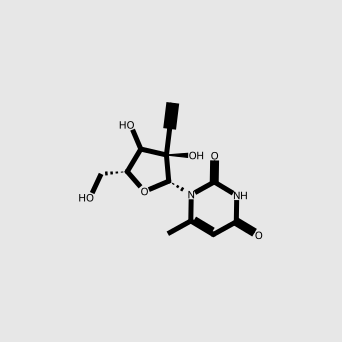 C#C[C@@]1(O)C(O)[C@@H](CO)O[C@H]1n1c(C)cc(=O)[nH]c1=O